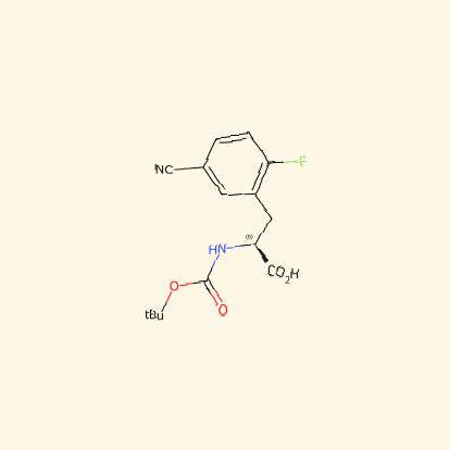 CC(C)(C)OC(=O)N[C@@H](Cc1cc(C#N)ccc1F)C(=O)O